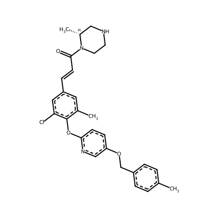 Cc1ccc(COc2ccc(Oc3c(C)cc(C=CC(=O)N4CCNC[C@H]4C)cc3Cl)nc2)cc1